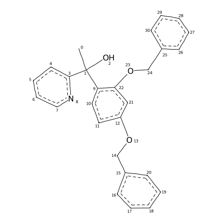 CC(O)(c1ccccn1)c1ccc(OCc2ccccc2)cc1OCc1ccccc1